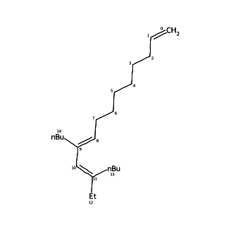 C=CCCCCCCC=C(C=C(CC)CCCC)CCCC